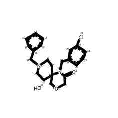 Cl.O=C1COCC2(CCN(Cc3ccccc3)CC2)N1Cc1cccc(Cl)c1